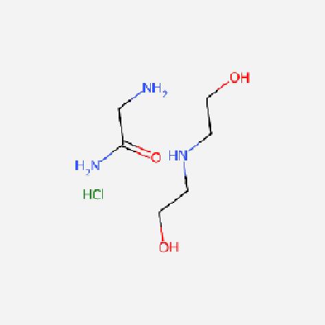 Cl.NCC(N)=O.OCCNCCO